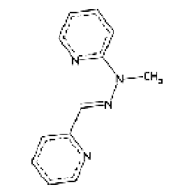 CN(N=Cc1ccccn1)c1ccccn1